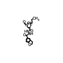 CCCCC[C@H](CN(O)C=O)C(=O)NNC(=O)c1ccc2c(c1)CCO2